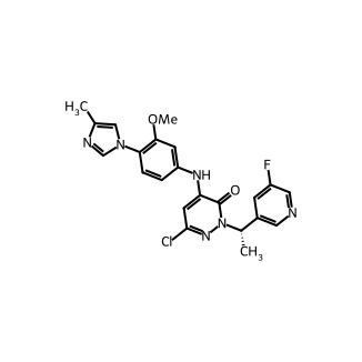 COc1cc(Nc2cc(Cl)nn([C@@H](C)c3cncc(F)c3)c2=O)ccc1-n1cnc(C)c1